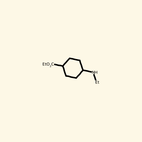 CCNC1CCC(C(=O)OCC)CC1